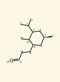 CC(C)C1C[C@@H](C)CC(CCC=O)C1C